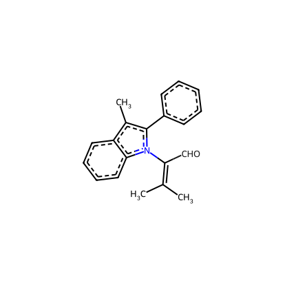 CC(C)=C(C=O)n1c(-c2ccccc2)c(C)c2ccccc21